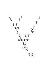 CCCCCCCCCCOC(=O)CCCCC(C(=O)OCC(COC(=O)CCCCCCC(=O)OC(CCCCCCCC)CCCCCCCC)COC(=O)OCCCN1CCN(C)CC1)C(C)C